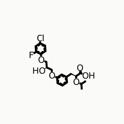 CC(C)O[C@@H](Cc1cccc(OC[C@H](O)COc2ccc(Cl)cc2F)c1)C(=O)O